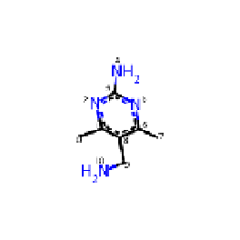 Cc1nc(N)nc(C)c1CN